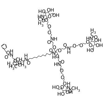 CC(=O)NC1C(OCCOCCOCCNC(=O)CCOCC(COCCC(=O)NCCOCCOCCOC2OC(CO)C(O)C(O)C2NC(C)=O)(COCCC(=O)NCCOCCOCCOC2OC(CO)C(O)C(O)C2NC(C)=O)NC(=O)CCCCCCCCCCC(=O)NCCOC(C)(OCCNC(=O)OCc2ccccc2)C(C)(C)C)OC(CO)C(O)C1O